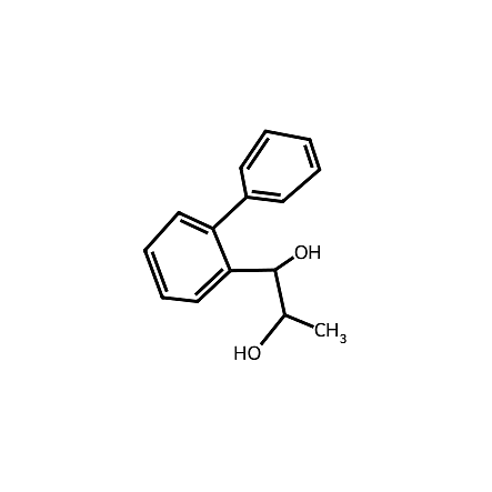 CC(O)C(O)c1ccccc1-c1ccccc1